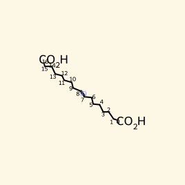 O=C(O)CCCCCC/C=C/CCCCCCCC(=O)O